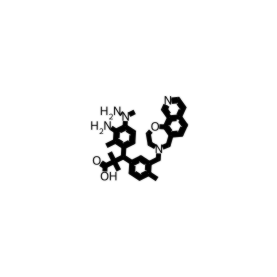 Cc1ccc(C(c2ccc(N(C)N)c(N)c2C)C(C)(C)C(=O)O)cc1CN1CCOc2c(ccc3ccncc23)C1